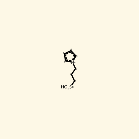 O=S(=O)(O)CCCn1cccc1